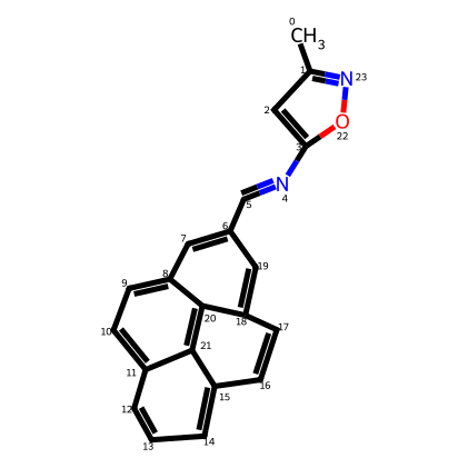 Cc1cc(/N=C/c2cc3ccc4cccc5ccc(c2)c3c45)on1